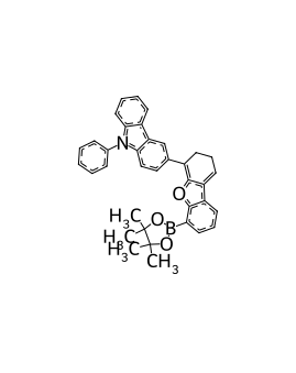 CC1(C)OB(c2cccc3c4c(oc23)=C(c2ccc3c(c2)c2ccccc2n3-c2ccccc2)CCC=4)OC1(C)C